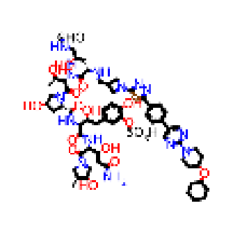 C[C@@H](O)[C@H](NC(=O)[C@H](C[C@@H](O)CNC=O)NCC1CN(c2nnc(-c3ccc(-c4cnc(N5CCC(OC6CCCCC6)CC5)nc4)cc3)s2)C1)C(=O)N1C[C@H](O)C[C@H]1C(=O)N[C@H](C(=O)N[C@H](C(=O)N1C[C@@H](O)[C@@H](C)C1)[C@H](O)CC(N)=O)[C@H](O)Cc1ccc(O)c(OS(=O)(=O)O)c1